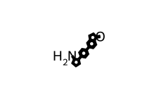 NC1CCCC1c1ccc(-c2ccc3c(c2)CCC3=O)cc1